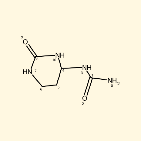 NC(=O)NC1CCNC(=O)N1